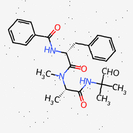 C[C@@H](C(=O)NC(C)(C)C=O)N(C)C(=O)[C@@H](Cc1ccccc1)NC(=O)c1ccccc1